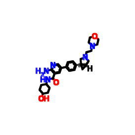 Nc1ncc(-c2ccc([C@@]34C[C@@H]3CN(CCN3CCOCC3)C4)cc2)cc1C(=O)NC1CCC(O)CC1